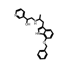 CC(Cc1c[nH]c2c(OCc3ccccc3)cccc12)NCC(O)c1cccnc1